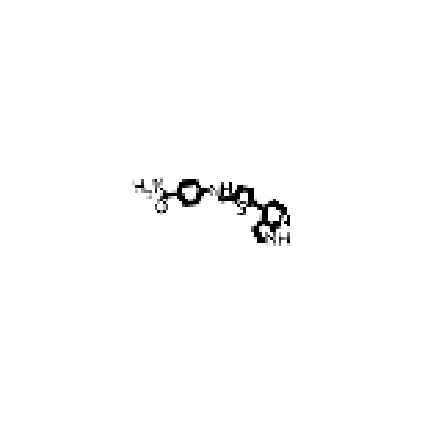 NC(=O)c1ccc(NCc2ccc(-c3ccnc4[nH]ccc34)s2)cc1